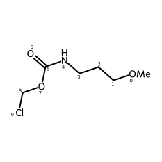 COCCCNC(=O)OCCl